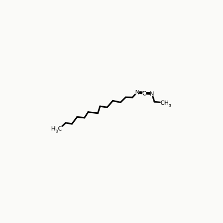 CCCCCCCCCCCCCN=C=NCC